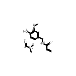 C=CC(=O)NCc1ccc(O)c(OC)c1.CN(C)C=O